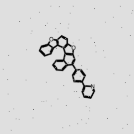 c1ccc(-c2ccc(-c3cc4oc5ccc6oc7ccccc7c6c5c4c4ccccc34)cc2)nc1